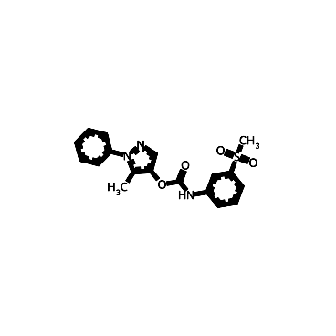 Cc1c(OC(=O)Nc2cccc(S(C)(=O)=O)c2)cnn1-c1ccccc1